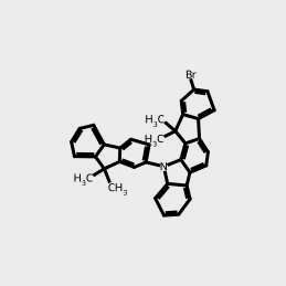 CC1(C)c2ccccc2-c2ccc(-n3c4ccccc4c4ccc5c(c43)C(C)(C)c3cc(Br)ccc3-5)cc21